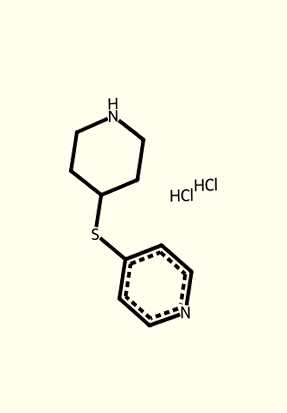 Cl.Cl.c1cc(SC2CCNCC2)ccn1